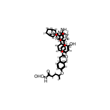 CC(CCC(=O)NC=O)Oc1ccc(CC(=O)N2CCC(c3ccnc(N4C5CCC4CN(c4cc(-c6ccccc6O)nnc4N)C5)n3)CC2)c(F)c1